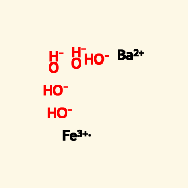 [Ba+2].[Fe+3].[OH-].[OH-].[OH-].[OH-].[OH-]